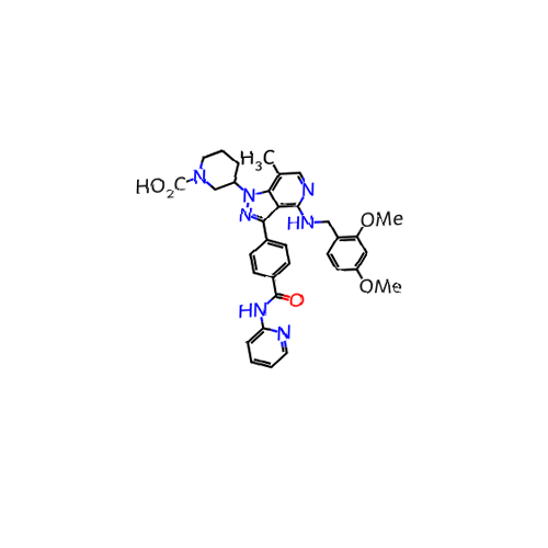 COc1ccc(CNc2ncc(C)c3c2c(-c2ccc(C(=O)Nc4ccccn4)cc2)nn3C2CCCN(C(=O)O)C2)c(OC)c1